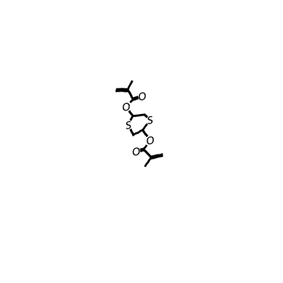 C=C(C)C(=O)OC1CSC(OC(=O)C(=C)C)CS1